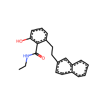 CCNC(=O)c1c(O)cccc1CCc1ccc2ccccc2c1